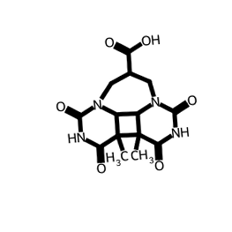 CC12C(=O)NC(=O)N3CC(C(=O)O)CN4C(=O)NC(=O)C1(C)C4C32